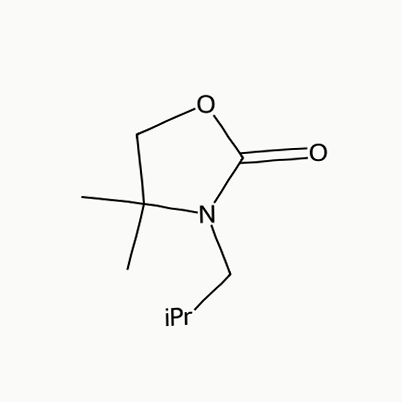 CC(C)CN1C(=O)OCC1(C)C